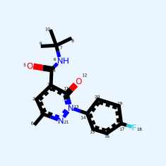 Cc1cc(C(=O)NC(C)(C)C)c(=O)n(-c2ccc(F)cc2)n1